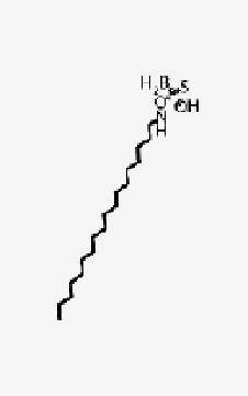 BP(O)(=S)ONCCCCCCCCCCCCCCCCCC